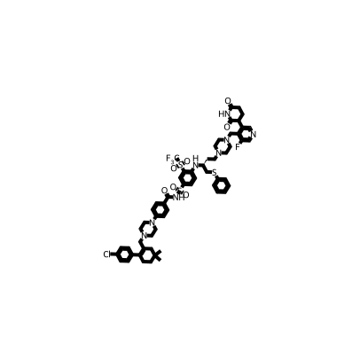 CC1(C)CCC(c2ccc(Cl)cc2)=C(CN2CCN(c3ccc(C(=O)NS(=O)(=O)c4ccc(N[C@H](CCN5CCN(Cc6c(F)cncc6C6CCC(=O)NC6=O)CC5)CSc5ccccc5)c(S(=O)(=O)C(F)(F)F)c4)cc3)CC2)C1